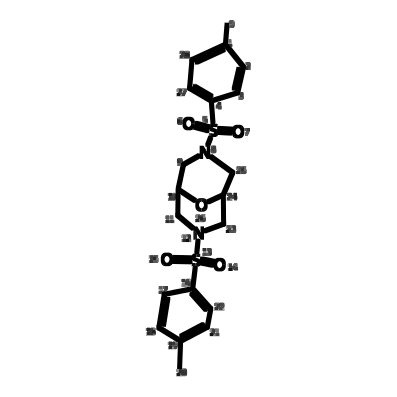 Cc1ccc(S(=O)(=O)N2CC3CN(S(=O)(=O)c4ccc(C)cc4)CC(C2)O3)cc1